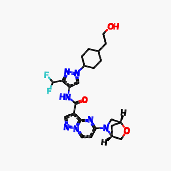 O=C(Nc1cn(C2CCC(CCO)CC2)nc1C(F)F)c1cnn2ccc(N3C[C@H]4C[C@@H]3CO4)nc12